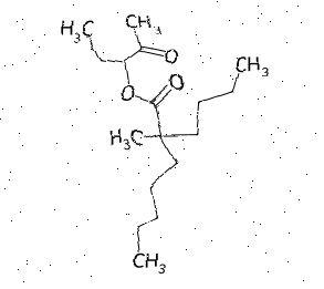 CCCCCC(C)(CCCC)C(=O)OC(CC)C(C)=O